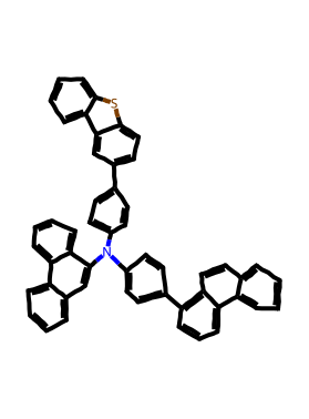 c1ccc2c(c1)ccc1c(-c3ccc(N(c4ccc(-c5ccc6sc7ccccc7c6c5)cc4)c4cc5ccccc5c5ccccc45)cc3)cccc12